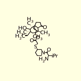 C=C[C@]1(C)C[C@@H](OC(=O)CSC2CCCN(C(=O)C(N)C(C)C)C2)[C@]2(C)C(C)CCC3(CCC(=O)C32)[C@@H](C)C1O